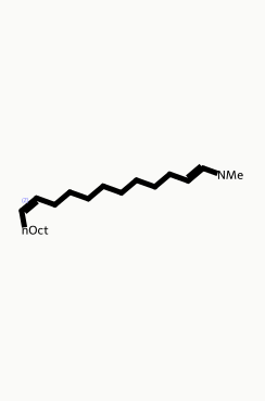 CCCCCCCC/C=C\CCCCCCCCC=CNC